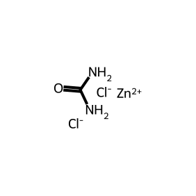 NC(N)=O.[Cl-].[Cl-].[Zn+2]